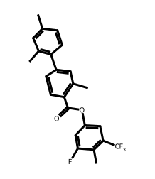 Cc1ccc(-c2ccc(C(=O)Oc3cc(F)c(C)c(C(F)(F)F)c3)c(C)c2)c(C)c1